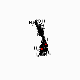 Cc1nnc(-c2ccc(CN(CC(=O)NCCCCNc3ncnc4c3ncn4C3OC(CSCC[C@H](N)C(=O)O)C(O)C3O)C(=O)CC/C=N/N(C)C(=O)c3ccc(C(C)O)cc3)cc2)nn1